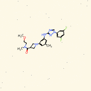 COCCN(C)C(=O)C1CN(c2cc(C)cc(Nc3ncn(-c4cc(F)cc(F)c4)n3)c2)C1